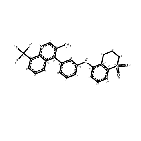 Cc1cnc2c(C(F)(F)F)cccc2c1-c1cccc(Oc2ccnc3c2CCCS3(=O)=O)c1